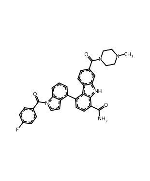 CN1CCN(C(=O)c2ccc3c(c2)[nH]c2c(C(N)=O)ccc(-c4cccc5c4ccn5C(=O)c4ccc(F)cc4)c23)CC1